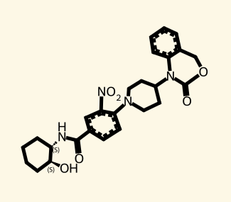 O=C(N[C@H]1CCCC[C@@H]1O)c1ccc(N2CCC(N3C(=O)OCc4ccccc43)CC2)c([N+](=O)[O-])c1